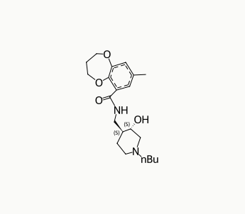 CCCCN1CC[C@@H](CNC(=O)c2cc(C)cc3c2OCCCO3)[C@H](O)C1